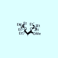 CC[C@@H](C=C(OC)O[Si](CC)(CC)CC)O[Si](CC)(CC)CC